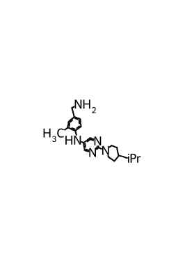 Cc1cc(CN)ccc1Nc1cnc(N2CCC(C(C)C)CC2)nc1